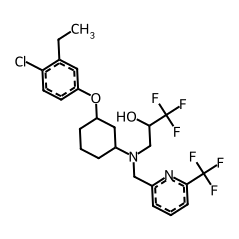 CCc1cc(OC2CCCC(N(Cc3cccc(C(F)(F)F)n3)CC(O)C(F)(F)F)C2)ccc1Cl